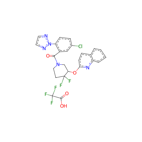 O=C(O)C(F)(F)F.O=C(c1cc(Cl)ccc1-n1nccn1)N1CCC(F)(F)C(Oc2ccc3ccccc3n2)C1